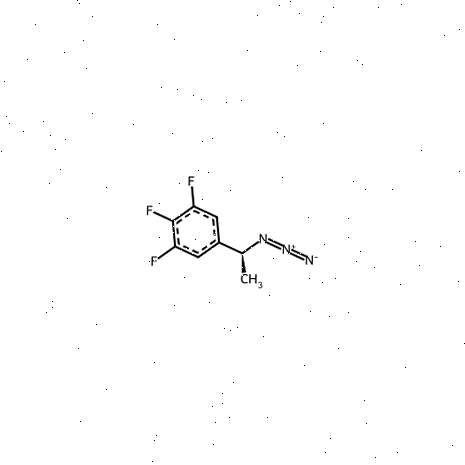 C[C@H](N=[N+]=[N-])c1cc(F)c(F)c(F)c1